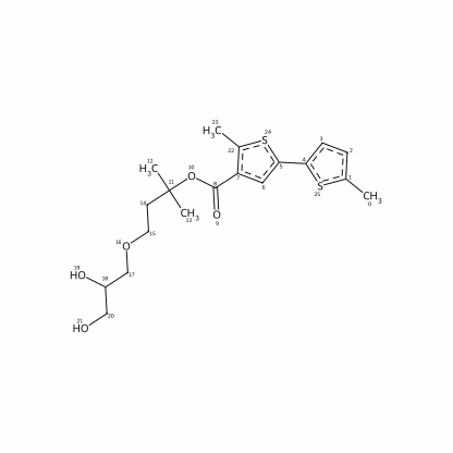 Cc1ccc(-c2cc(C(=O)OC(C)(C)CCOCC(O)CO)c(C)s2)s1